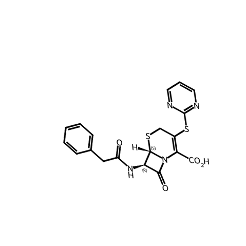 O=C(Cc1ccccc1)N[C@@H]1C(=O)N2C(C(=O)O)=C(Sc3ncccn3)CS[C@@H]12